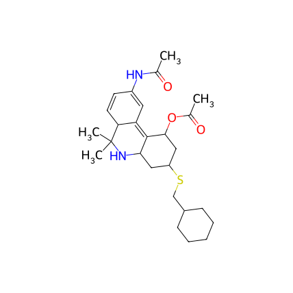 CC(=O)NC1=CC2=C3C(CC(SCC4CCCCC4)CC3OC(C)=O)NC(C)(C)C2C=C1